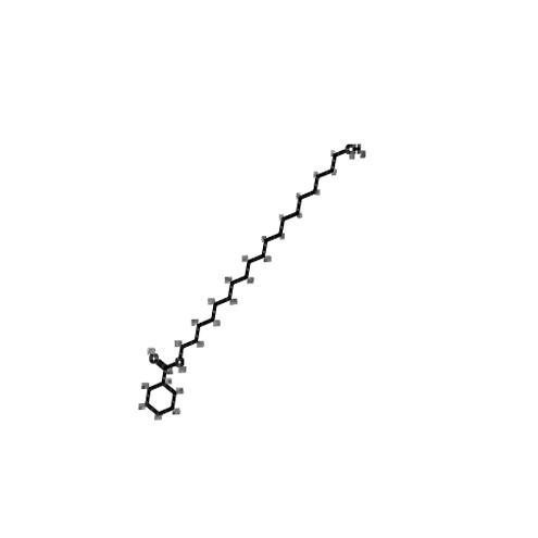 CCCCCCCCCCCCCCCCCCCCOC(=O)C1CC[CH]CC1